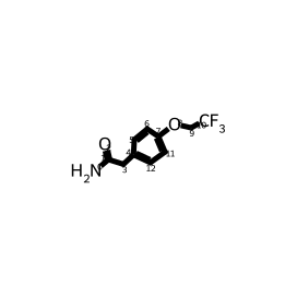 NC(=O)Cc1ccc(OCC(F)(F)F)cc1